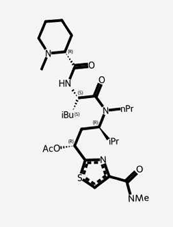 CCCN(C(=O)[C@@H](NC(=O)[C@H]1CCCCN1C)[C@@H](C)CC)[C@H](C[C@@H](OC(C)=O)c1nc(C(=O)NC)cs1)C(C)C